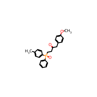 COc1ccc(CC(=O)CCP(=O)(c2ccccc2)c2ccc(C)cc2)cc1